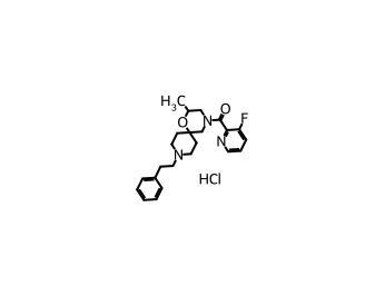 CC1CN(C(=O)c2ncccc2F)CC2(CCN(CCc3ccccc3)CC2)O1.Cl